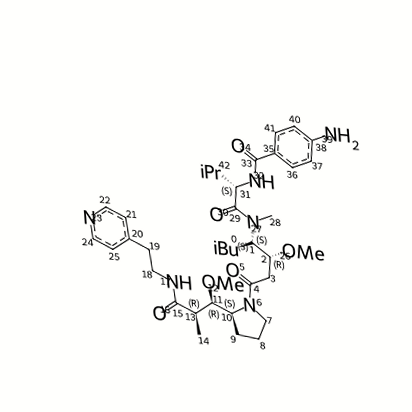 CC[C@H](C)[C@@H]([C@@H](CC(=O)N1CCC[C@H]1[C@H](OC)[C@@H](C)C(=O)NCCc1ccncc1)OC)N(C)C(=O)[C@@H](NC(=O)c1ccc(N)cc1)C(C)C